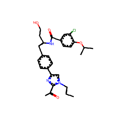 CCCn1cc(-c2ccc(CC(CCO)NC(=O)c3ccc(OC(C)C)c(Cl)c3)cc2)nc1C(C)=O